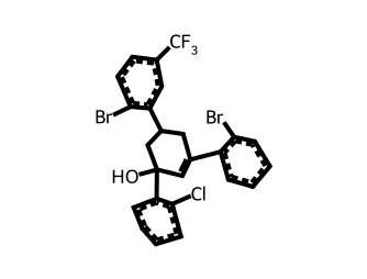 OC1(c2ccccc2Cl)C=C(c2ccccc2Br)CC(c2cc(C(F)(F)F)ccc2Br)C1